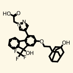 O=C(O)Cn1cc(-c2cc(OCCC34CC5CC(CC(O)(C5)C3)C4)cc3c2-c2ccccc2C3(O)C(F)(F)F)cn1